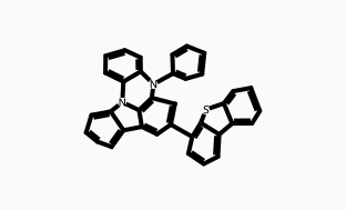 c1ccc(N2c3ccccc3-n3c4ccccc4c4cc(-c5cccc6c5sc5ccccc56)cc2c43)cc1